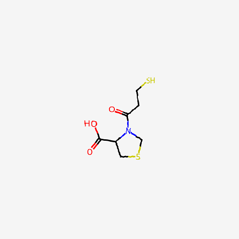 O=C(O)C1CSCN1C(=O)CCS